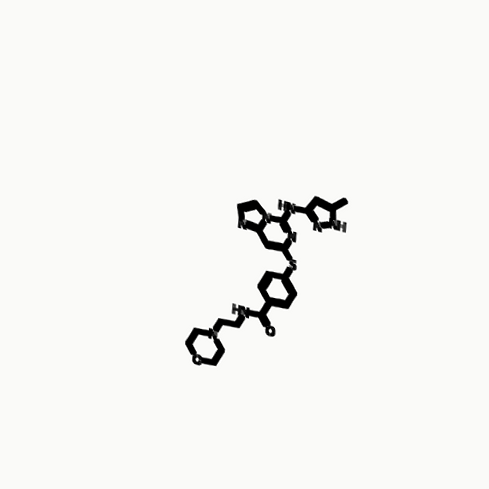 Cc1cc(Nc2nc(Sc3ccc(C(=O)NCCN4CCOCC4)cc3)cc3nccn23)n[nH]1